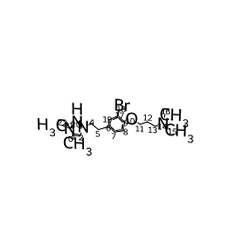 CC1=CN(CCc2ccc(OCCCN(C)C)c(Br)c2)NN1C